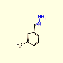 NN=Cc1cccc(C(F)(F)F)c1